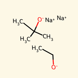 CC(C)(C)[O-].CC[O-].[Na+].[Na+]